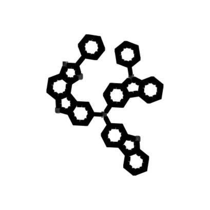 c1ccc(-c2nc3ccc4oc5ccc(N(c6ccc7c(c6)oc6ccccc67)c6ccc7c(c6)c6ccccc6n7-c6ccccc6)cc5c4c3o2)cc1